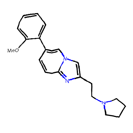 COc1ccccc1-c1ccc2nc(CCN3CCCC3)cn2c1